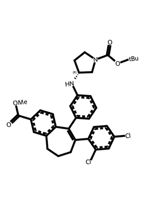 COC(=O)c1ccc2c(c1)CCCC(c1ccc(Cl)cc1Cl)=C2c1cccc(N[C@@H]2CCN(C(=O)OC(C)(C)C)C2)c1